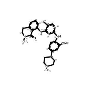 COc1cc(N2CCN(C)CC2)ccc1Nc1ncc(Cl)c(Nc2cccc3c2C(=O)N(C)CC3)n1